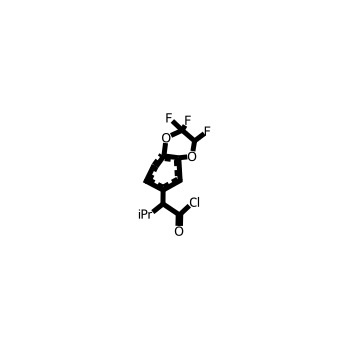 CC(C)C(C(=O)Cl)c1ccc2c(c1)OC(F)C(F)(F)O2